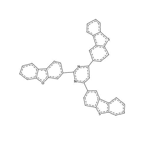 c1ccc2c(c1)oc1cc(-c3nc(-c4ccc5sc6ccccc6c5c4)cc(-c4ccc5sc6ccccc6c5c4)n3)ccc12